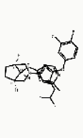 Cc1cc(N2C[C@H]3CC[C@@H](C2)[C@H]3Nc2nc(Oc3ccc(F)c(Cl)c3)n(CC(F)F)n2)ncn1